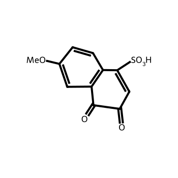 COc1ccc2c(c1)C(=O)C(=O)C=C2S(=O)(=O)O